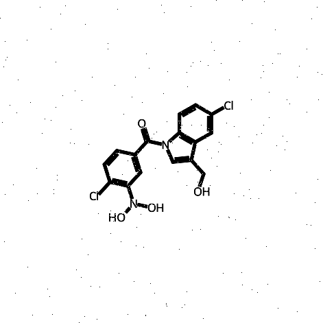 O=C(c1ccc(Cl)c(N(O)O)c1)n1cc(CO)c2cc(Cl)ccc21